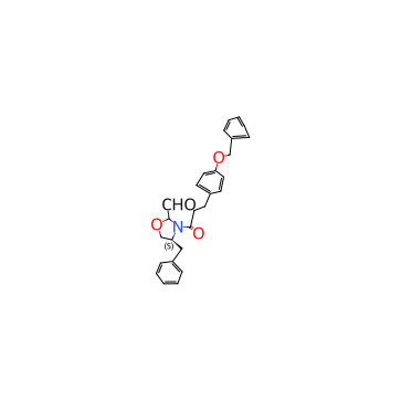 O=CC1OC[C@H](Cc2ccccc2)N1C(=O)CCc1ccc(OCc2ccccc2)cc1